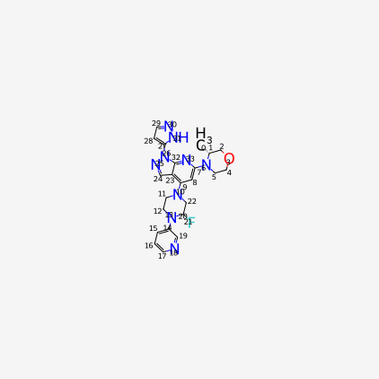 C[C@@H]1COCCN1c1cc(N2CCN(c3cccnc3)C(F)C2)c2cnn(-c3ccn[nH]3)c2n1